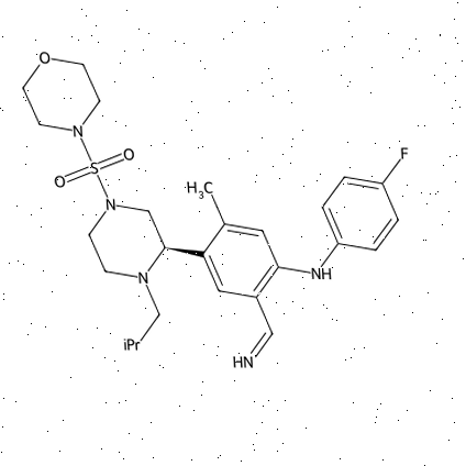 Cc1cc(Nc2ccc(F)cc2)c(C=N)cc1[C@@H]1CN(S(=O)(=O)N2CCOCC2)CCN1CC(C)C